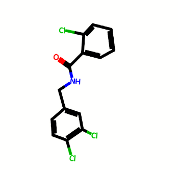 O=C(NCc1ccc(Cl)c(Cl)c1)c1ccccc1Cl